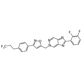 Fc1cccc(-c2nc3cnn(Cc4cc(-c5ccc(CCC(F)(F)F)cc5)no4)cc-3n2)c1F